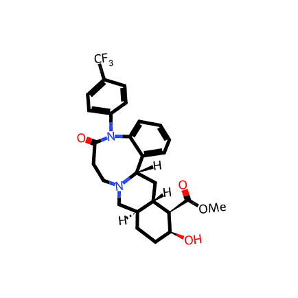 COC(=O)[C@@H]1[C@H]2C[C@H]3c4ccccc4N(c4ccc(C(F)(F)F)cc4)C(=O)CCN3C[C@@H]2CC[C@@H]1O